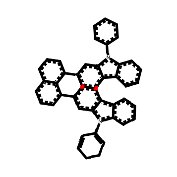 C1=CC(n2c3ccccc3c3ccc(-c4cccc5cccc(-c6ccc7c8ccccc8n(-c8ccccc8)c7c6)c45)cc32)=CCC1